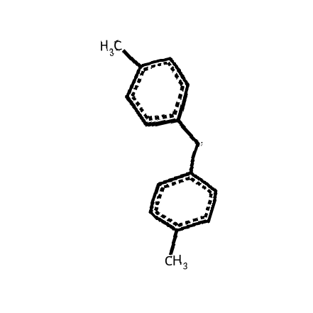 Cc1ccc([C]c2ccc(C)cc2)cc1